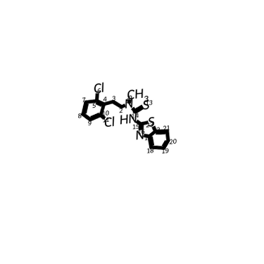 CN(CCc1c(Cl)cccc1Cl)C(=S)Nc1nc2ccccc2s1